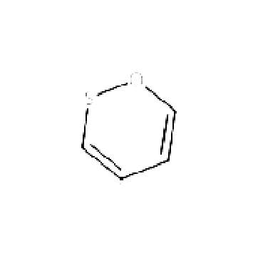 [C]1=CSOC=C1